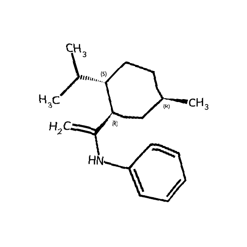 C=C(Nc1ccccc1)[C@@H]1C[C@H](C)CC[C@H]1C(C)C